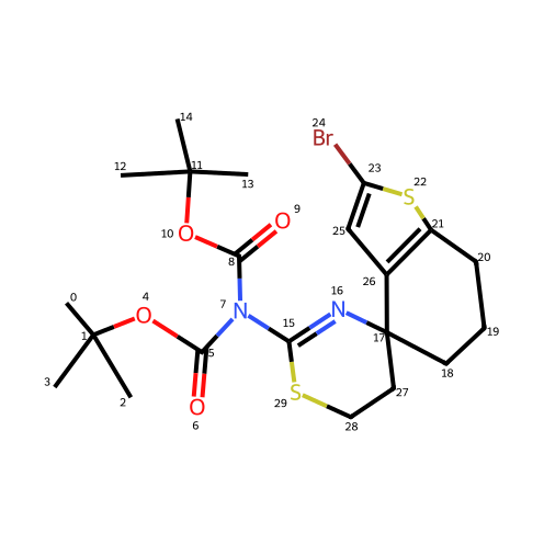 CC(C)(C)OC(=O)N(C(=O)OC(C)(C)C)C1=NC2(CCCc3sc(Br)cc32)CCS1